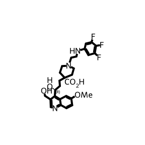 COc1ccc2ncc(CO)c([C@H](O)CCC3(C(=O)O)CCN(CCNc4cc(F)c(F)c(F)c4)CC3)c2c1